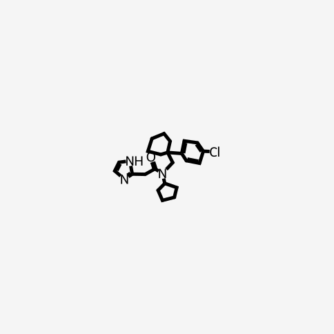 O=C(Cc1ncc[nH]1)N(CC1(c2ccc(Cl)cc2)CCCCC1)C1CCCC1